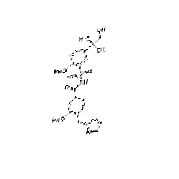 COc1cc(C(=O)N[S@@](=N)(=O)c2cc(C(C)(C)CO)ccc2OC)ccc1Cn1cccn1